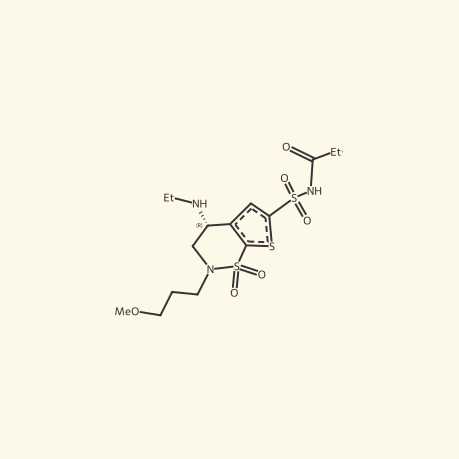 C[CH]C(=O)NS(=O)(=O)c1cc2c(s1)S(=O)(=O)N(CCCOC)C[C@@H]2NCC